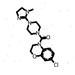 CN1CCN=C1N1CCN(C(=O)N2CCOc3cc(Cl)ccc32)CC1